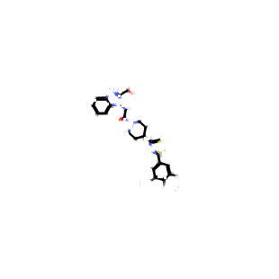 COc1c(C(C)(C)C)cc(-c2nc(C3CCN(C(=O)Cn4c(CO)nc5ccccc54)CC3)cs2)cc1C(C)(C)C